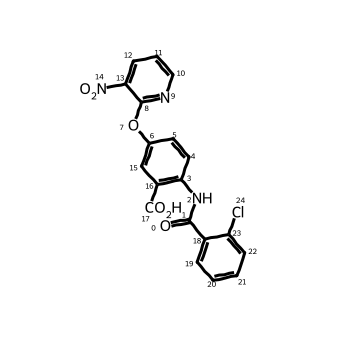 O=C(Nc1ccc(Oc2ncccc2[N+](=O)[O-])cc1C(=O)O)c1ccccc1Cl